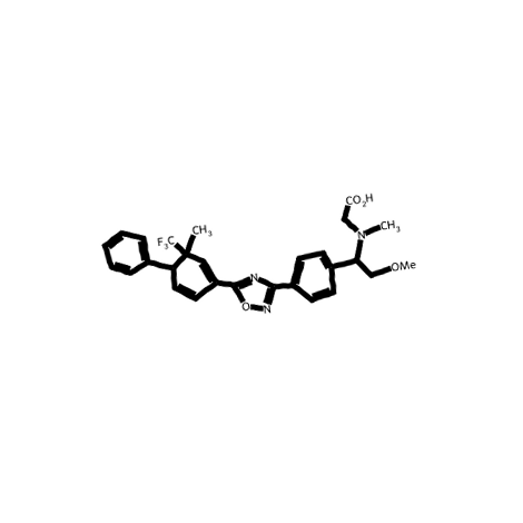 COCC(c1ccc(-c2noc(C3=CC(C)(C(F)(F)F)C(c4ccccc4)C=C3)n2)cc1)N(C)CC(=O)O